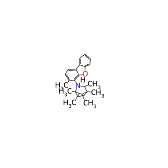 Cc1ccc2c(oc3ccccc32)c1N1[C@@H](C)C2(C)CCC1(C)C(C)C2C